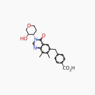 Cc1c(Cc2ccc(C(=O)O)cc2)cc2c(=O)n([C@H]3CCOC[C@@H]3O)cnc2c1C